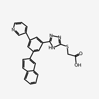 O=C(O)CSc1nnc(-c2cc(-c3cccnc3)cc(-c3ccc4ccccc4c3)c2)[nH]1